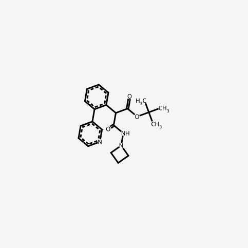 CC(C)(C)OC(=O)C(C(=O)NN1CCC1)c1ccccc1-c1[c]nccc1